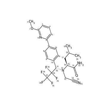 COc1cccc(-c2ccc([C@H](N(CC#N)[C@@H](CC(C)C)C(N)=O)C(F)(F)C(F)(F)F)cc2)n1